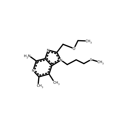 CCOCc1nc2c(N)nc(C)c(C)c2n1CCCSC